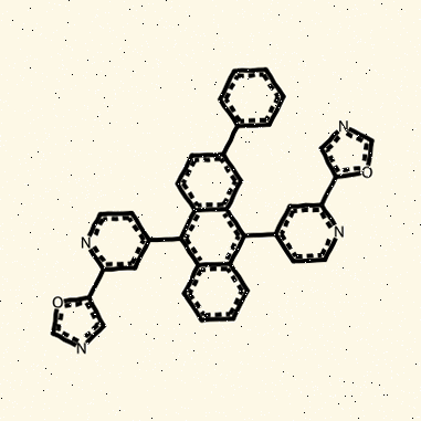 c1ccc(-c2ccc3c(-c4ccnc(-c5cnco5)c4)c4ccccc4c(-c4ccnc(-c5cnco5)c4)c3c2)cc1